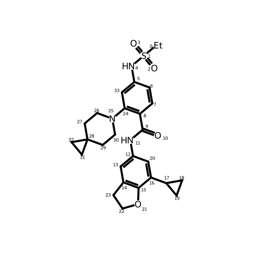 CCS(=O)(=O)Nc1ccc(C(=O)Nc2cc3c(c(C4CC4)c2)OCC3)c(N2CCC3(CC2)CC3)c1